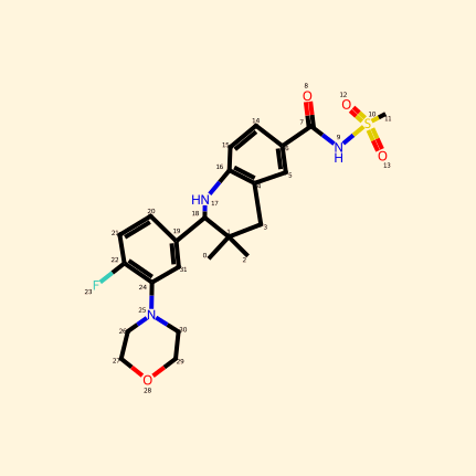 CC1(C)Cc2cc(C(=O)NS(C)(=O)=O)ccc2NC1c1ccc(F)c(N2CCOCC2)c1